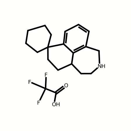 O=C(O)C(F)(F)F.c1cc2c3c(c1)C1(CCCCC1)CCC3CCNC2